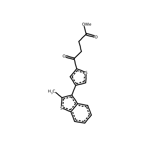 COC(=O)CCC(=O)c1cc(-c2c(C)sc3ccccc23)cs1